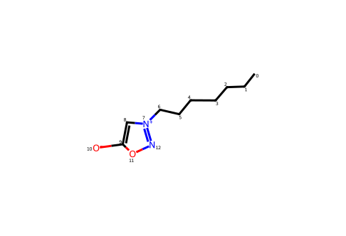 CCCCCCC[n+]1cc([O-])on1